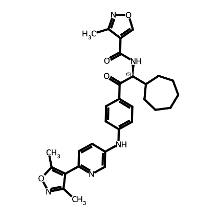 Cc1nocc1C(=O)N[C@H](C(=O)c1ccc(Nc2ccc(-c3c(C)noc3C)nc2)cc1)C1CCCCCC1